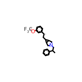 CC(CN1CC2C(C[CH]c3cccc(OC(F)(F)F)c3)C2C1)c1ccccc1